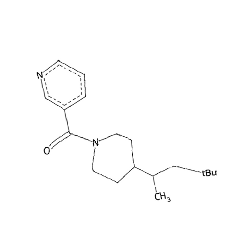 CC(CC(C)(C)C)C1CCN(C(=O)c2cccnc2)CC1